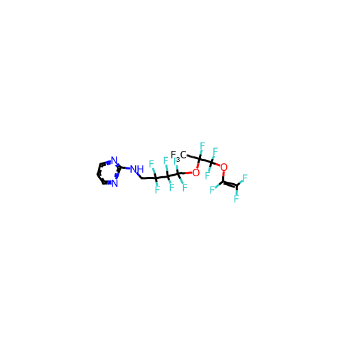 FC(F)=C(F)OC(F)(F)C(F)(OC(F)(F)C(F)(F)C(F)(F)CNc1ncccn1)C(F)(F)F